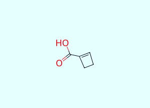 O=C(O)C1=CCC1